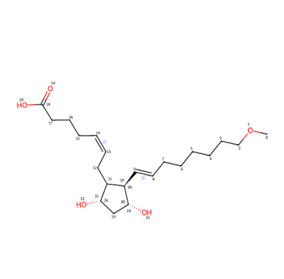 COCCCCCC/C=C/[C@@H]1C(C/C=C\CCCC(=O)O)[C@@H](O)C[C@H]1O